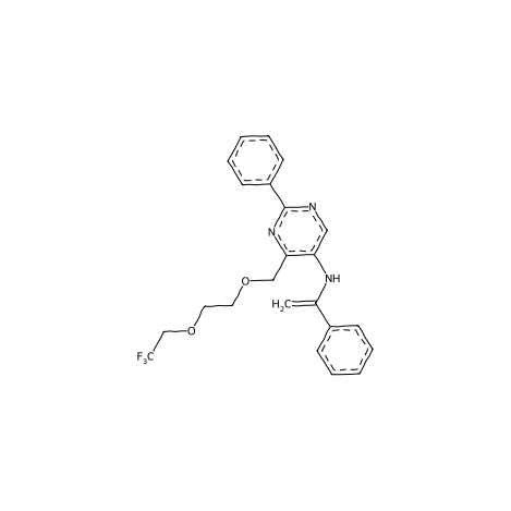 C=C(Nc1cnc(-c2ccccc2)nc1COCCOCC(F)(F)F)c1ccccc1